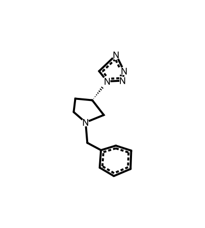 c1ccc(CN2CC[C@H](n3cnnn3)C2)cc1